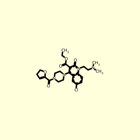 CCOC(=O)c1c(N2CCN(C(=O)C3=CCCO3)CC2)c2cc(Cl)ccc2n(CCN(C)C)c1=O